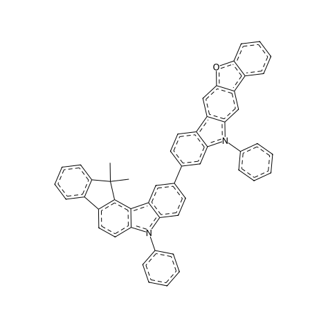 CC1(C)c2ccccc2-c2ccc3c(c21)c1cc(-c2ccc4c5cc6oc7ccccc7c6cc5n(-c5ccccc5)c4c2)ccc1n3-c1ccccc1